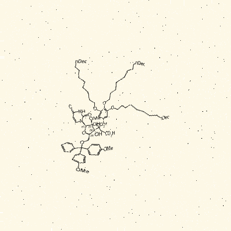 CCCCCCCCCCCCCCCCCCOc1cc(CC(CC(=O)O)(C(=O)O)[C@@]2(O)[C@@H](COC(c3ccccc3)(c3ccc(OC)cc3)c3ccc(OC)cc3)O[C@@H](n3ccc(=O)[nH]c3=O)[C@@]2(O)OC)cc(OCCCCCCCCCCCCCCCCCC)c1OCCCCCCCCCCCCCCCCCC